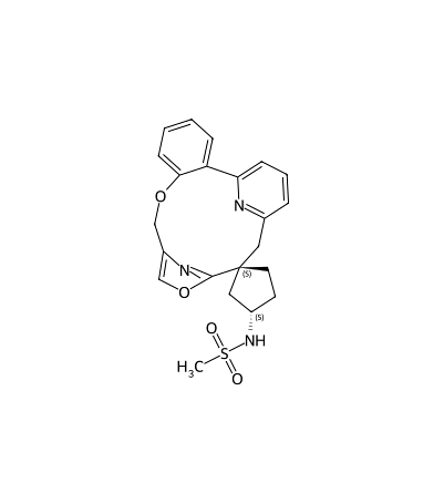 CS(=O)(=O)N[C@H]1CC[C@@]2(Cc3cccc(n3)-c3ccccc3OCc3coc2n3)C1